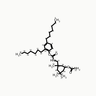 CCCCCCCc1ccc(OC(=O)NCC2(C)CC(OC(N)=O)CC(C)(C)C2)c(CCCCCCC)c1